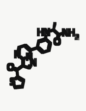 C[C@H](Nc1cccc(-c2ccnc3c(C(=O)c4cccs4)cnn23)c1)C(N)=O